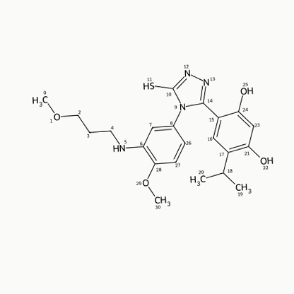 COCCCNc1cc(-n2c(S)nnc2-c2cc(C(C)C)c(O)cc2O)ccc1OC